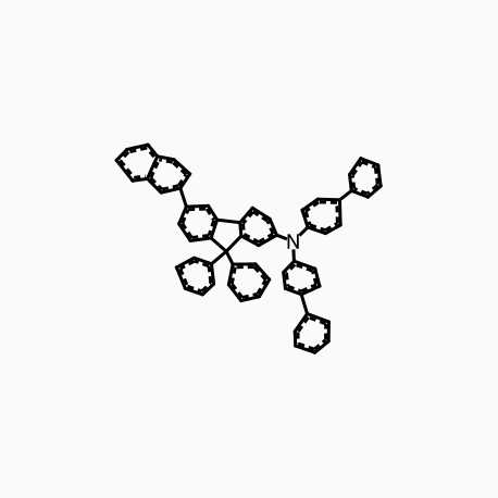 c1ccc(-c2ccc(N(c3ccc(-c4ccccc4)cc3)c3ccc4c(c3)C(c3ccccc3)(c3ccccc3)c3ccc(-c5ccc6ccccc6c5)cc3-4)cc2)cc1